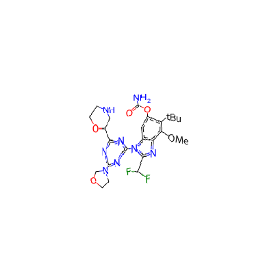 COc1c(C(C)(C)C)c(OC(N)=O)cc2c1nc(C(F)F)n2-c1nc(C2CNCCO2)nc(N2CCOC2)n1